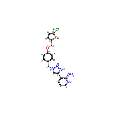 Nc1ncccc1-c1cn(Cc2ccc(OCc3ccc(Cl)s3)cc2)nn1